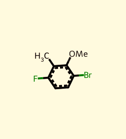 COc1c(Br)ccc(F)c1C